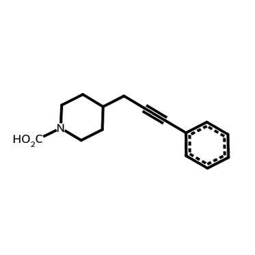 O=C(O)N1CCC(CC#Cc2ccccc2)CC1